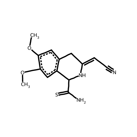 COc1cc2c(cc1OC)C(C(N)=S)NC(=CC#N)C2